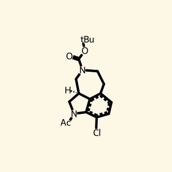 CC(=O)N1C[C@H]2CN(C(=O)OC(C)(C)C)CCc3ccc(Cl)c1c32